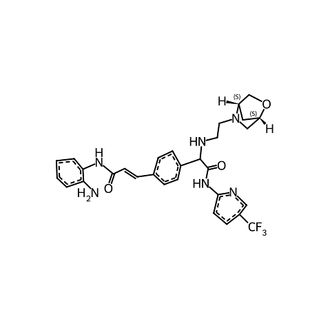 Nc1ccccc1NC(=O)C=Cc1ccc(C(NCCN2C[C@@H]3C[C@H]2CO3)C(=O)Nc2ccc(C(F)(F)F)cn2)cc1